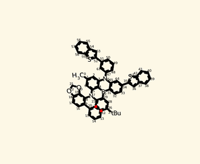 Cc1cc2c3c(c1)N(c1c(-c4ccccc4)ccc4c1OCO4)c1ccc(C(C)(C)C)cc1B3c1ccc(-c3cc4ccccc4s3)cc1N2c1cccc(-c2cc3ccccc3s2)c1